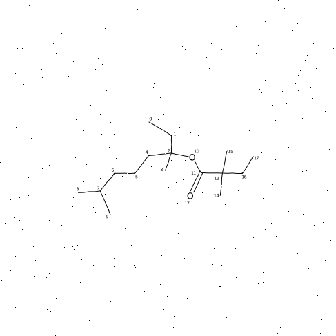 CCC(C)(CCCC(C)C)OC(=O)C(C)(C)CC